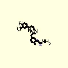 C=c1ccc(Cc2cnc3ccc(-c4ccc(F)c(Cl)c4)nn23)c/c1=C/C=C\N